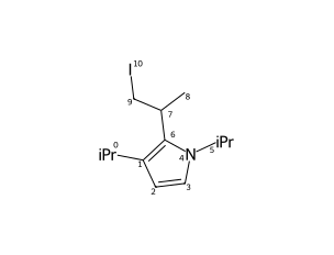 CC(C)c1ccn(C(C)C)c1C(C)CI